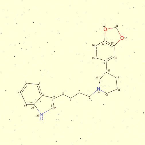 c1ccc2c(CCCCN3CCCC(c4ccc5c(c4)OCO5)C3)c[nH]c2c1